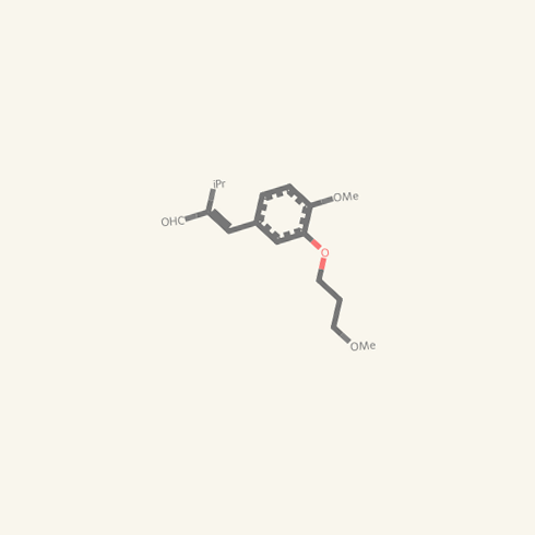 COCCCOc1cc(C=C(C=O)C(C)C)ccc1OC